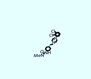 CNC(=O)N[C@H]1CC[C@H](CCN2CCN(c3cccc(Cl)c3Cl)CC2)CC1